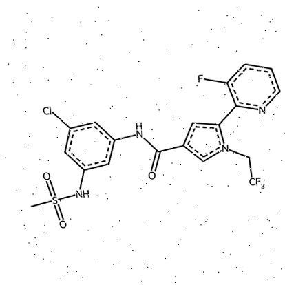 CS(=O)(=O)Nc1cc(Cl)cc(NC(=O)c2cc(-c3ncccc3F)n(CC(F)(F)F)c2)c1